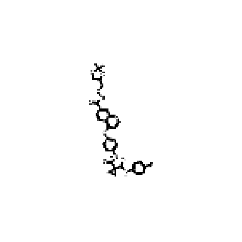 CC1(C)OCC(CONC(=O)c2ccc3c(Oc4ccc(NC(=O)C5(C(=O)Nc6ccc(F)cc6)CC5)cc4)ccnc3c2)O1